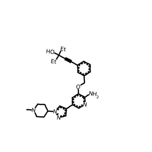 CCC(O)(C#Cc1cccc(COc2cc(-c3cnn(C4CCN(C)CC4)c3)cnc2N)c1)CC